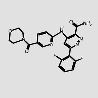 NC(=O)c1nnc(-c2c(F)cccc2F)cc1Nc1ccc(C(=O)N2CCOCC2)cn1